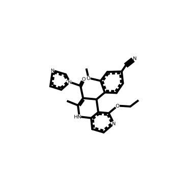 CCOc1nccc2c1C(c1ccc(C#N)cc1OC)C(C(=O)n1ccnc1)=C(C)N2